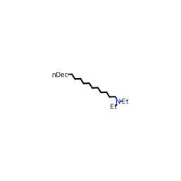 CCCCCCCCCCCCCCCCCCCCCN(CC)CC